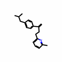 C=C(CCc1cccc(C)n1)c1ccc(CC(C)C)cc1